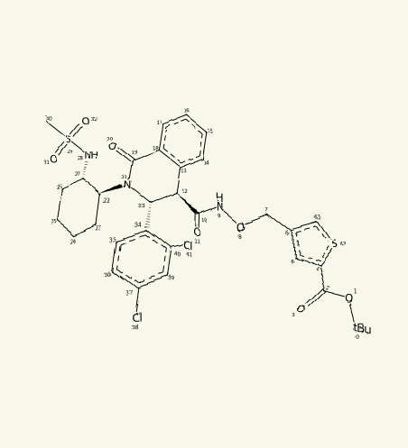 CC(C)(C)OC(=O)c1cc(CONC(=O)[C@@H]2c3ccccc3C(=O)N([C@H]3CCCC[C@@H]3NS(C)(=O)=O)[C@H]2c2ccc(Cl)cc2Cl)cs1